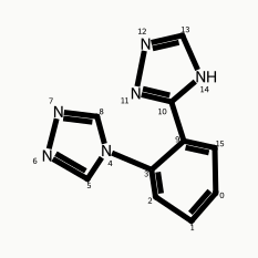 c1ccc(-n2cnnc2)c(-c2nnc[nH]2)c1